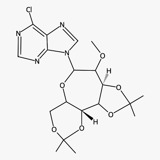 COC1C(n2cnc3c(Cl)ncnc32)OC2COC(C)(C)O[C@H]2C2OC(C)(C)O[C@H]12